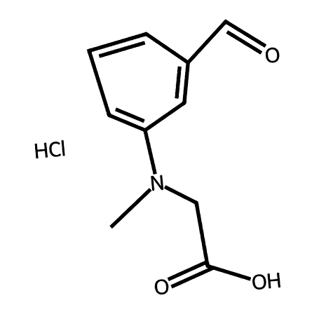 CN(CC(=O)O)c1cccc(C=O)c1.Cl